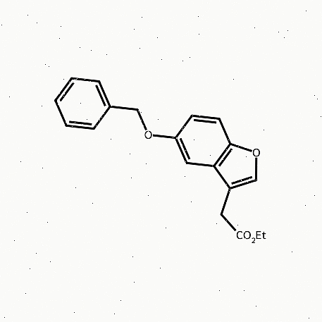 CCOC(=O)Cc1coc2ccc(OCc3ccccc3)cc12